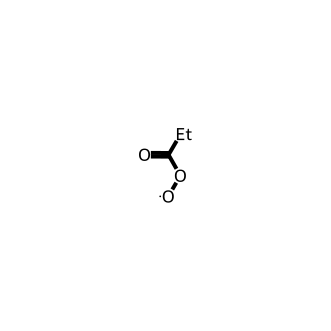 CCC(=O)O[O]